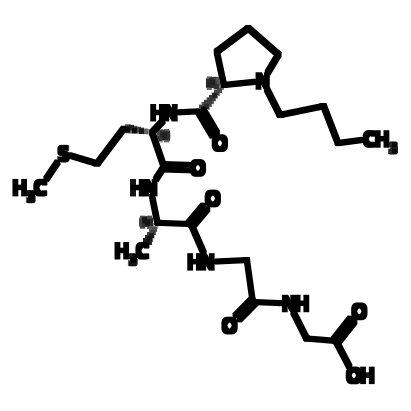 CCCCN1CCC[C@H]1C(=O)N[C@@H](CCSC)C(=O)N[C@@H](C)C(=O)NCC(=O)NCC(=O)O